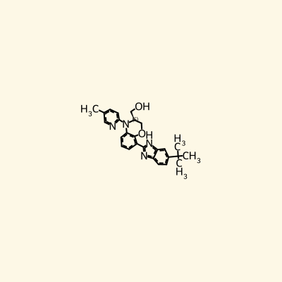 Cc1ccc(N2c3cccc(-c4nc5ccc(C(C)(C)C)cc5[nH]4)c3OC[C@@H]2CO)nc1